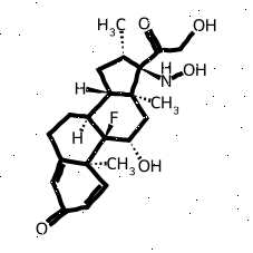 C[C@H]1C[C@H]2[C@@H]3CCC4=CC(=O)C=C[C@]4(C)[C@@]3(F)[C@@H](O)C[C@]2(C)[C@@]1(NO)C(=O)CO